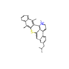 Cc1c2c(c(C)c3ccccc13)-c1c3c(cc4cc(CC(C)C)ccc4c3cc[n+]1C)S2